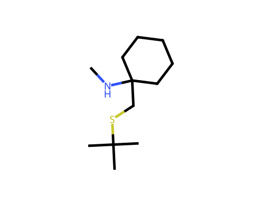 CNC1(CSC(C)(C)C)CCCCC1